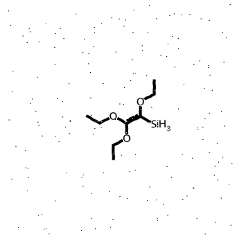 CCOC([SiH3])=C(OCC)OCC